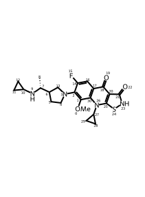 COc1c(N2CCC([C@@H](C)NC3CC3)C2)c(F)cc2c(=O)c3c(=O)[nH]sc3n(C3CC3)c12